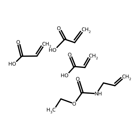 C=CC(=O)O.C=CC(=O)O.C=CC(=O)O.C=CCNC(=O)OCC